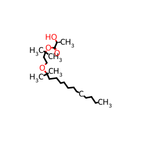 CCCCCCCCCCCCC(C)(C)OCCC(C)(C)OC(=O)[C@H](C)O